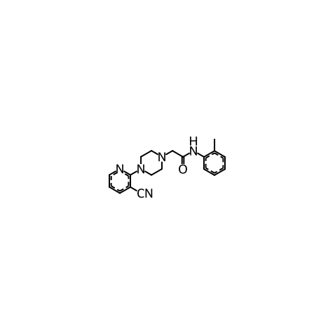 Cc1ccccc1NC(=O)CN1CCN(c2ncccc2C#N)CC1